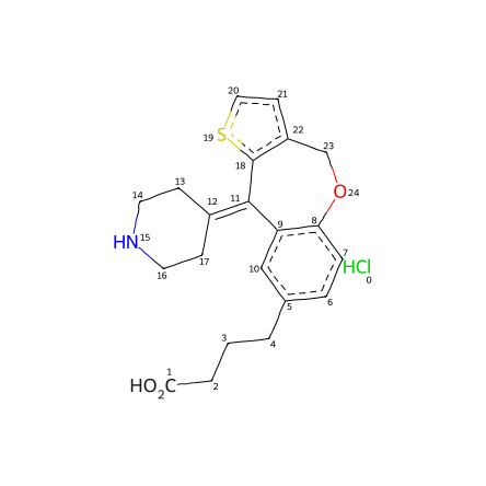 Cl.O=C(O)CCCc1ccc2c(c1)C(=C1CCNCC1)c1sccc1CO2